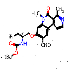 Cc1nccc2c1c(=O)n(C)c1cc(OC[C@H](CC(C)C)NC(=O)OC(C)(C)C)c(C=O)cc21